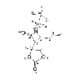 C=CCC1C(C2(C)COC(=O)O2)C(=O)N1[Si](C)(C)C(C)(C)C